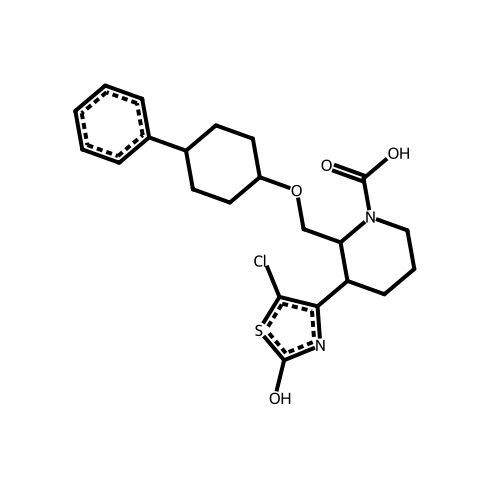 O=C(O)N1CCCC(c2nc(O)sc2Cl)C1COC1CCC(c2ccccc2)CC1